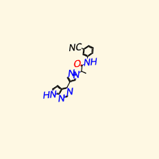 CC(C(=O)Nc1cccc(C#N)c1)n1cc(-c2ncnc3[nH]ccc23)cn1